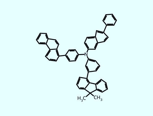 CC1(C)c2ccccc2-c2c(-c3cccc(N(c4ccc(-c5cccc6c5ccc5ccccc56)cc4)c4ccc5cc(-c6ccccc6)ccc5c4)c3)cccc21